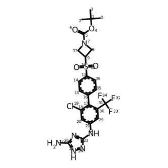 CC(C)(C)OC(=O)N1CC(S(=O)(=O)c2ccc(-c3c(Cl)cc(Nc4n[nH]c(N)n4)cc3C(F)(F)F)cc2)C1